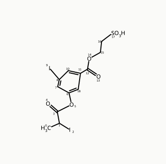 CC(I)C(=O)Oc1cc(I)cc(C(=O)OCCS(=O)(=O)O)c1